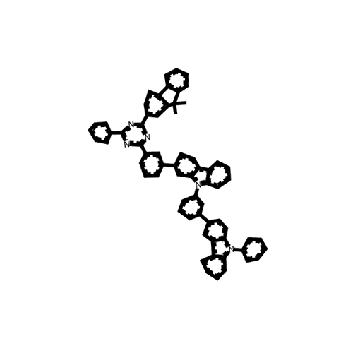 CC1(C)c2ccccc2-c2ccc(-c3nc(-c4ccccc4)nc(-c4cccc(-c5ccc6c7ccccc7n(-c7cccc(-c8ccc9c(c8)c8ccccc8n9-c8ccccc8)c7)c6c5)c4)n3)cc21